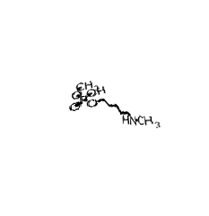 CNCCCCCOP(=O)(O)OC